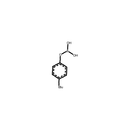 CC(C)(C)c1ccc(OB(O)O)cc1